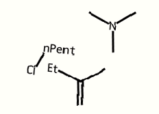 C=C(C)CC.CCCCCCl.CN(C)C